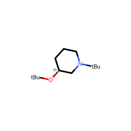 CC(C)(C)O[C@H]1CCCN(C(C)(C)C)C1